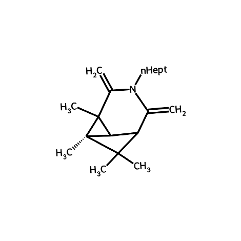 C=C1C2C3C(C)(C(=C)N1CCCCCCC)[C@]3(C)C2(C)C